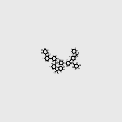 CC1(C)c2ccccc2-c2cc3c4cc(-c5ccc(N(c6cccc(-c7cccc8c7oc7ccccc78)c6)c6cccc7c6-c6ccccc6C7(C)C)cc5)ccc4n(-c4ccccc4)c3cc21